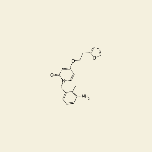 Cc1c(N)cccc1Cn1ccc(OCCc2ccco2)cc1=O